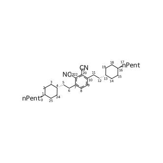 CCCCC[C@H]1CC[C@H](CCc2ccc(CC[C@H]3CC[C@H](CCCCC)CC3)c(C#N)c2C#N)CC1